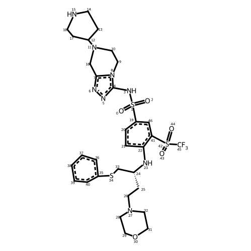 O=S(=O)(Nc1nnc2n1CCN(C1CCNCC1)C2)c1ccc(N[C@H](CCN2CCOCC2)CSc2ccccc2)c(S(=O)(=O)C(F)(F)F)c1